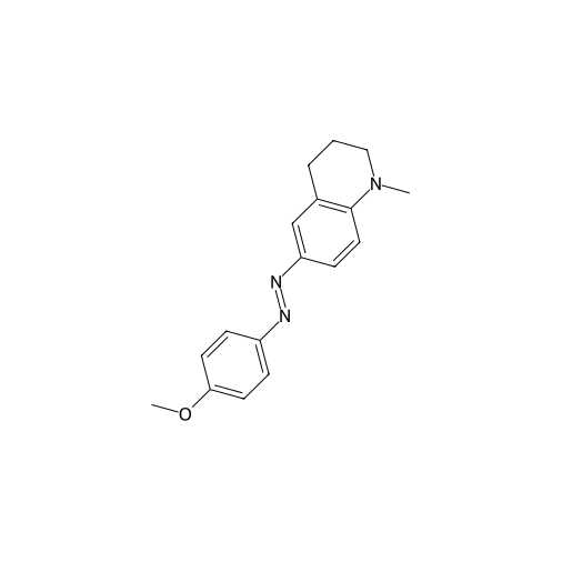 COc1ccc(/N=N/c2ccc3c(c2)CCCN3C)cc1